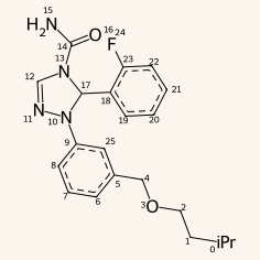 CC(C)CCOCc1cccc(N2N=CN(C(N)=O)C2c2ccccc2F)c1